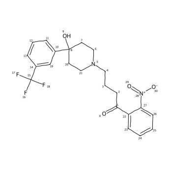 O=C(CCCN1CCC(O)(c2cccc(C(F)(F)F)c2)CC1)c1ccccc1[N+](=O)[O-]